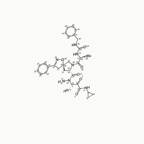 CCC[C@@H](C(=O)C(=O)NC1CC1)N(N)C(=O)[C@@H]1C[C@]2(CC(c3ccccc3)=NO2)CN1C(=O)[C@@H](NC(=O)NCc1ccccc1)C(C)(C)C